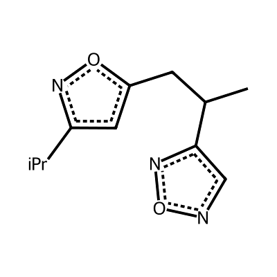 CC(C)c1cc(CC(C)c2cnon2)on1